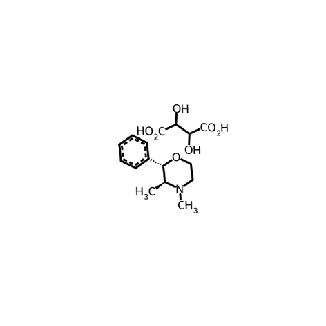 C[C@H]1[C@H](c2ccccc2)OCCN1C.O=C(O)C(O)C(O)C(=O)O